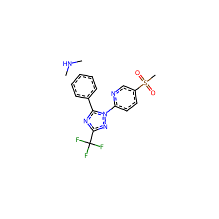 CNC.CS(=O)(=O)c1ccc(-n2nc(C(F)(F)F)nc2-c2ccccc2)nc1